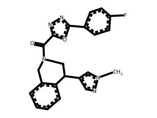 Cn1cc(C2CN(C(=O)c3nnc(-c4ccc(F)cc4)o3)Cc3ccccc32)cn1